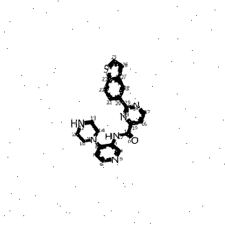 O=C(Nc1cnccc1N1CCNCC1)c1ccnc(-c2ccc3sccc3c2)n1